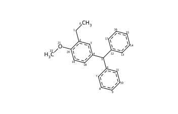 CCc1cc(C(c2ccccc2)c2ccccc2)ccc1OC